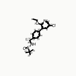 CCOc1ncc(Cl)cc1-c1ccc([C@@H](C)N[S+]([O-])C(C)(C)C)cc1